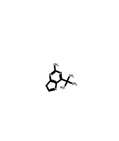 Cc1nc2c(c(C(C)(C)C)n1)N=CC2